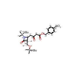 C[C@@H](O[Si](C)(C)C(C)(C)C)[C@@]1(C)C(=O)N([Si](C)(C)C(C)(C)C)C1CC(=O)CC(=O)OCc1ccc([N+](=O)[O-])cc1